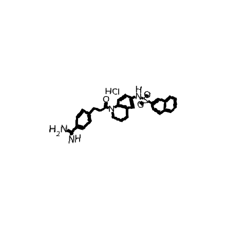 Cl.N=C(N)c1ccc(CCC(=O)N2CCCc3cc(NS(=O)(=O)c4ccc5ccccc5c4)ccc32)cc1